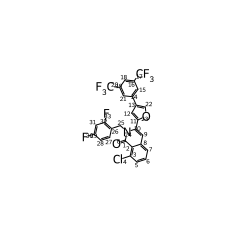 O=c1c2c(Cl)cccc2cc(-c2cc(-c3cc(C(F)(F)F)cc(C(F)(F)F)c3)co2)n1Cc1ccc(F)cc1F